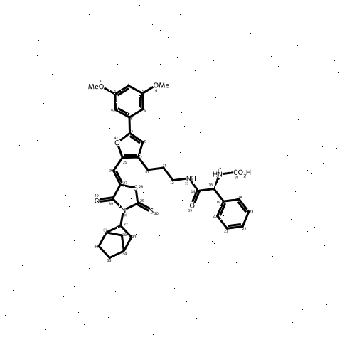 COc1cc(OC)cc(-c2cc(CCCNC(=O)[C@@H](NC(=O)O)c3ccccc3)c(/C=C3\SC(=S)N(C4CC5CCC4C5)C3=O)o2)c1